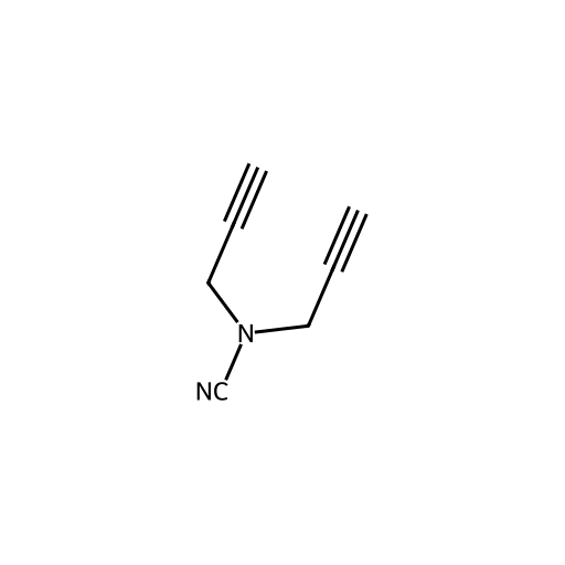 C#CCN(C#N)CC#C